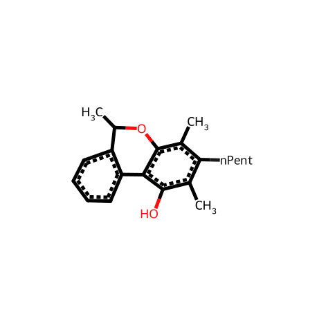 CCCCCc1c(C)c(O)c2c(c1C)OC(C)c1ccccc1-2